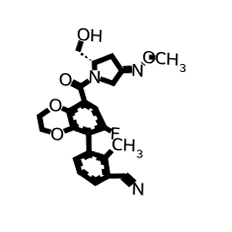 CO/N=C1\C[C@@H](CO)N(C(=O)c2cc(F)c(-c3cccc(C#N)c3C)c3c2OCCO3)C1